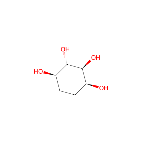 O[C@@H]1[C@@H](O)[C@@H](O)CC[C@H]1O